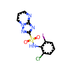 O=S(=O)(Nc1c(Cl)cccc1I)c1nc2ncccn2n1